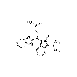 C=C(C)n1c(=O)n(C(CCC(C)=O)c2nc3ccccc3[nH]2)c2ccccc21